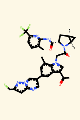 CC(=O)c1cn(CC(=O)N2[C@H](C(=O)Nc3nc(C(F)(F)F)ccc3C)C[C@@]3(C)C[C@@H]23)c2c(C)cc(-c3cnc4cc(CF)nn4c3)cc12